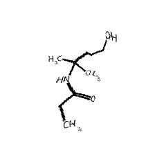 CCC(=O)NC(C)(C)CCO